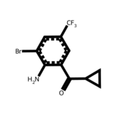 Nc1c(Br)cc(C(F)(F)F)cc1C(=O)C1CC1